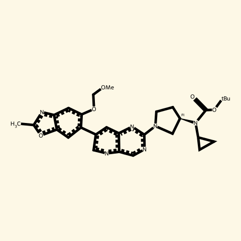 COCOc1cc2nc(C)oc2cc1-c1cnc2cnc(N3CC[C@@H](N(C(=O)OC(C)(C)C)C4CC4)C3)nc2c1